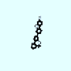 CC1(C)Oc2cc(-c3ccc4c(c3)oc3cc(Cl)ccc34)ccc2-c2ccccc21